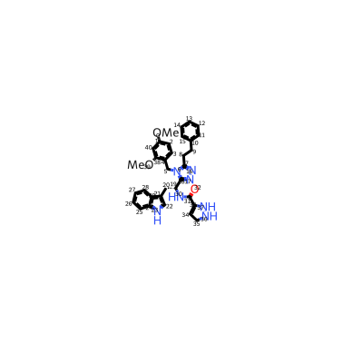 COc1ccc(Cn2c(CCc3ccccc3)nnc2[C@@H](Cc2c[nH]c3ccccc23)NC(=O)C2=CCNN2)c(OC)c1